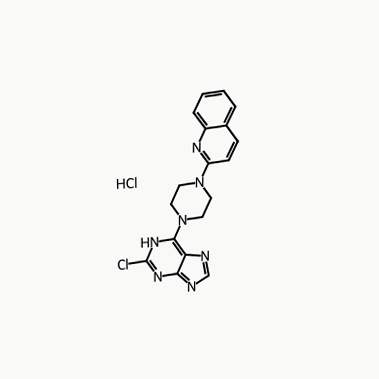 Cl.Clc1nc2ncnc-2c(N2CCN(c3ccc4ccccc4n3)CC2)[nH]1